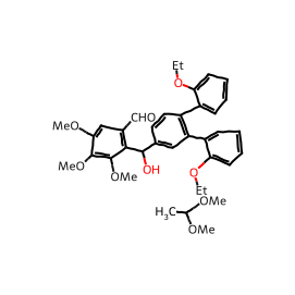 CCOc1ccccc1-c1ccc(C(O)c2c(C=O)cc(OC)c(OC)c2OC)cc1-c1ccccc1OCC.COC(C)OC